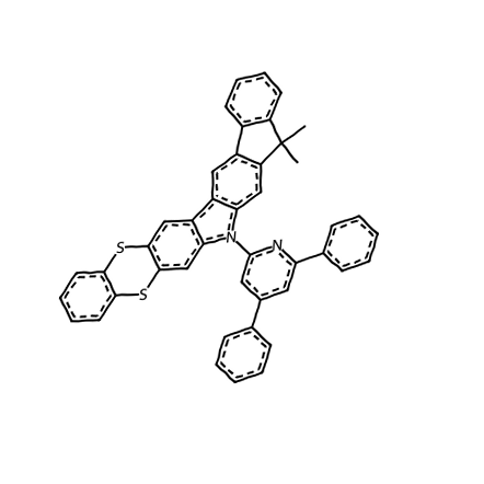 CC1(C)c2ccccc2-c2cc3c4cc5c(cc4n(-c4cc(-c6ccccc6)cc(-c6ccccc6)n4)c3cc21)Sc1ccccc1S5